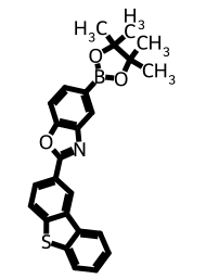 CC1(C)OB(c2ccc3oc(-c4ccc5sc6ccccc6c5c4)nc3c2)OC1(C)C